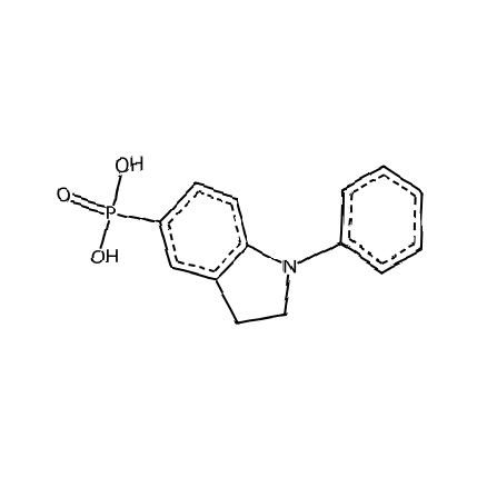 O=P(O)(O)c1ccc2c(c1)CCN2c1ccccc1